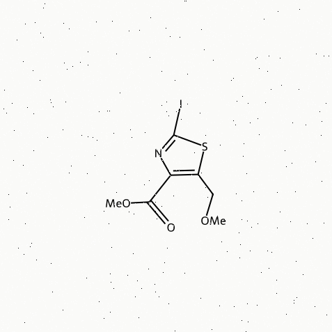 COCc1sc(I)nc1C(=O)OC